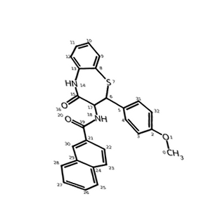 COc1ccc(C2Sc3ccccc3NC(=O)C2NC(=O)c2ccc3ccccc3c2)cc1